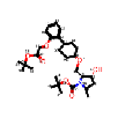 CC1C[C@@H](O)[C@H](COC2CCC(c3ccccc3OCC(=O)OC(C)(C)C)CC2)N1C(=O)OC(C)(C)C